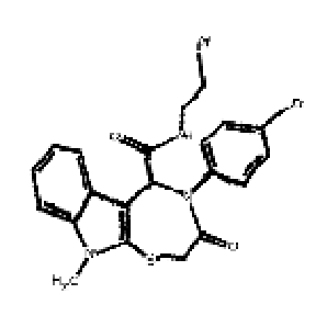 CCc1ccc(N2C(=O)CSc3c(c4ccccc4n3C)C2C(=O)NCCC(C)C)cc1